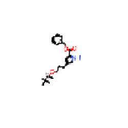 CC(C)(C)[Si](C)(C)OCCCc1c[nH]c(C(=O)OCc2ccccc2)c1